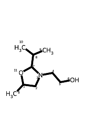 CC1CN(CCO)C(C(C)C)O1